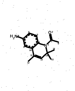 CC(=O)N1c2ccc(N)cc2C(C)=CC1(C)C